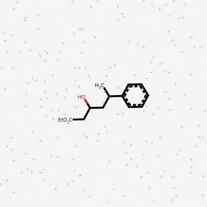 CCOC(=O)CC(O)CC(C)c1ccccc1